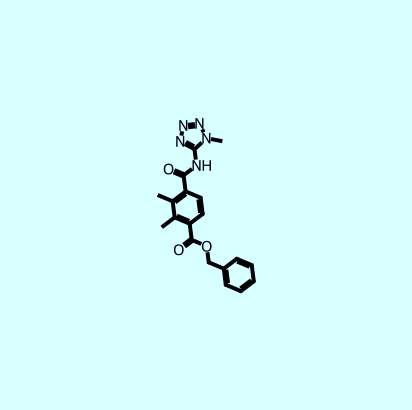 Cc1c(C(=O)Nc2nnnn2C)ccc(C(=O)OCc2ccccc2)c1C